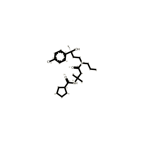 CCCN(CC[C@](C)(O)c1ccc(Cl)cc1)C(=O)CC(C)(C)NC(=O)C1CCCC1